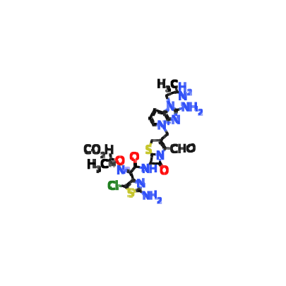 CC(N)Cn1c(N)nc2c1ccc[n+]2CC1=C(C=O)N2C(=O)C(NC(=O)/C(=N\O[C@@H](C)C(=O)O)c3nc(N)sc3Cl)C2SC1